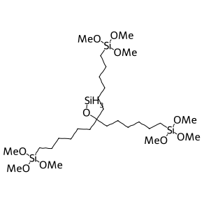 CO[Si](CCCCCCC(CCCCCC[Si](OC)(OC)OC)(CCCCCC[Si](OC)(OC)OC)O[SiH3])(OC)OC